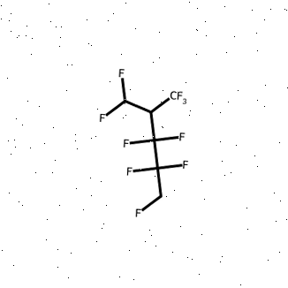 FCC(F)(F)C(F)(F)C([C](F)F)C(F)(F)F